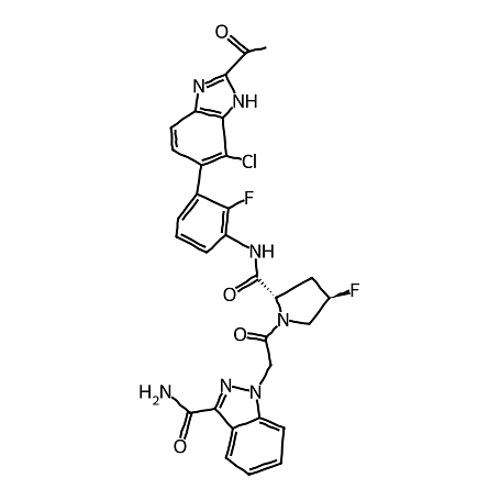 CC(=O)c1nc2ccc(-c3cccc(NC(=O)[C@@H]4C[C@@H](F)CN4C(=O)Cn4nc(C(N)=O)c5ccccc54)c3F)c(Cl)c2[nH]1